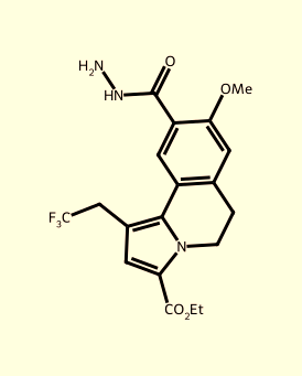 CCOC(=O)c1cc(CC(F)(F)F)c2n1CCc1cc(OC)c(C(=O)NN)cc1-2